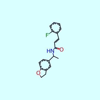 CC(NC(=O)C=Cc1ccccc1F)c1ccc2c(c1)CCO2